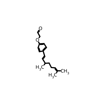 CC(C)=CCCC(C)/C=C/c1ccc(OCC=O)cc1